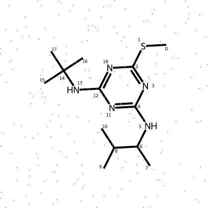 CSc1nc(NC(C)C(C)C)nc(NC(C)(C)C)n1